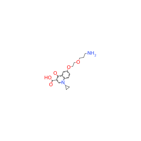 NCCCOCCOc1ccc2c(c1)c(=O)c(C(=O)O)cn2C1CC1